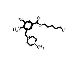 CN1CCN(Cc2cc(C(=O)OCCCCCCl)cc(Br)c2N)CC1